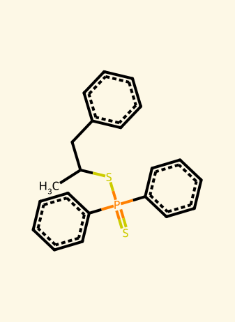 CC(Cc1ccccc1)SP(=S)(c1ccccc1)c1ccccc1